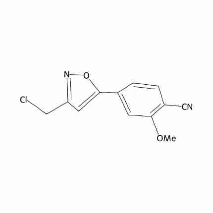 COc1cc(-c2cc(CCl)no2)ccc1C#N